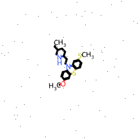 CCC1CCC(CCN2c3ccc(OC)cc3Sc3ccc(SC)cc32)NC1